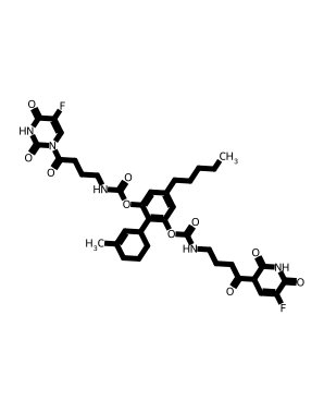 CCCCCc1cc(OC(=O)NCCCC(=O)C2C=C(F)C(=O)NC2=O)c(C2C=C(C)CCC2)c(OC(=O)NCCCC(=O)n2cc(F)c(=O)[nH]c2=O)c1